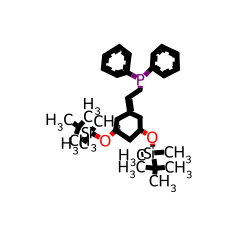 CC(C)(C)[Si](C)(C)OC1CC(=CCP(c2ccccc2)c2ccccc2)CC(O[Si](C)(C)C(C)(C)C)C1